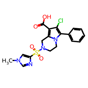 Cn1cnc(S(=O)(=O)N2CCn3c(c(C(=O)O)c(Cl)c3-c3ccccc3)C2)c1